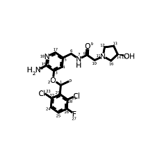 CC(Oc1cc(CNC(=O)CN2CC[C@@H](O)C2)cnc1N)c1c(Cl)ccc(F)c1Cl